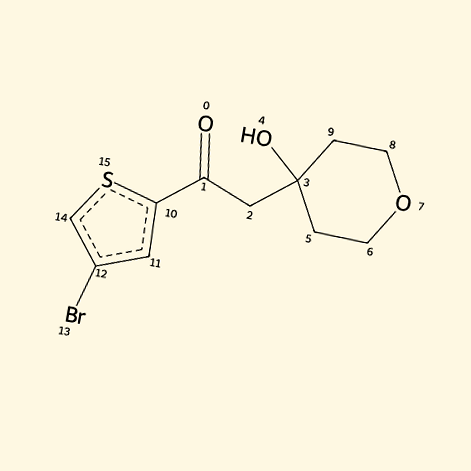 O=C(CC1(O)CCOCC1)c1cc(Br)cs1